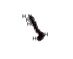 Cc1cc(N=Nc2cc(C)c(N=Nc3ccc4cc(NC(=O)c5ccc(N)cc5)ccc4c3O)cc2C)ccc1N=Nc1ccc(N=Nc2cc3c(S(=O)(=O)O)cccc3cc2S(=O)(=O)O)c(C)c1